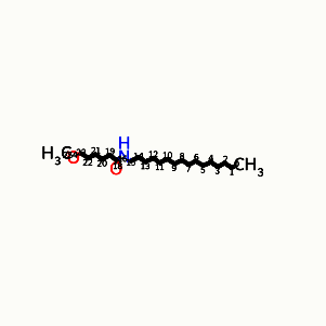 CCCCCCCCCCCCCCCCNC(=O)CCCCCOC